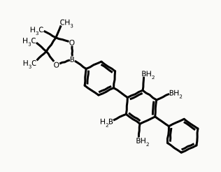 Bc1c(B)c(-c2ccc(B3OC(C)(C)C(C)(C)O3)cc2)c(B)c(B)c1-c1ccccc1